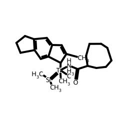 CC1=Cc2cc3c(cc2[CH]1[Ti]([CH3])([CH3])([NH]C(=O)C1CCCCCCC1)=[Si](C)C)CCC3